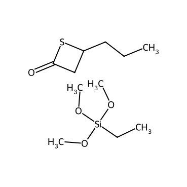 CCCC1CC(=O)S1.CC[Si](OC)(OC)OC